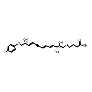 O=C(O)CCCOC[C@H](O)[C@H](O)/C=C/C=C/C#C/C=C/[C@H](O)COc1ccc(F)cc1